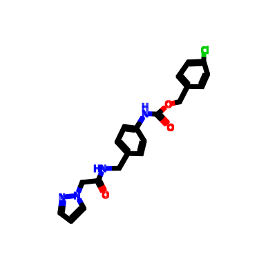 O=C(Cn1cccn1)NCc1ccc(NC(=O)OCc2ccc(Cl)cc2)cc1